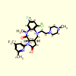 Cc1cc(C(F)(F)F)cc(N2C(=O)C[C@@H]3CN(CCN4CCN(C)CC4)c4c(Cl)cc(F)cc4N(C)C(=O)[C@H]32)n1